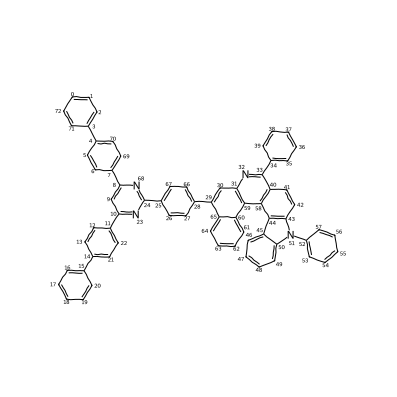 c1ccc(-c2ccc(-c3cc(-c4ccc(-c5ccccc5)cc4)nc(-c4ccc(-c5cc6nc(-c7ccccc7)c7ccc8c(c9ccccc9n8-c8ccccc8)c7c6c6ccccc56)cc4)n3)cc2)cc1